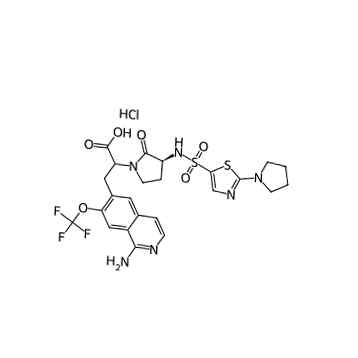 Cl.Nc1nccc2cc(CC(C(=O)O)N3CC[C@H](NS(=O)(=O)c4cnc(N5CCCC5)s4)C3=O)c(OC(F)(F)F)cc12